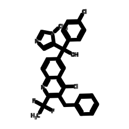 Cn1cncc1C(O)(c1ccc(Cl)cc1)c1ccc2nc(C(C)(F)F)c(Cc3ccccc3)c(Cl)c2c1